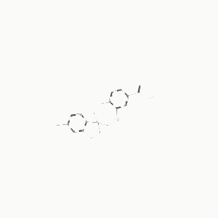 COC(=O)c1ccc2c(c1)NCC1(CCc3cc(Cl)ccc31)CO2